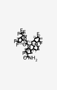 NC(=O)c1cc(-c2cccnc2C(Cc2cc(F)cc(F)c2)NC(=O)Cn2nc(C(F)(F)F)c3c2CC(F)(F)C3)ccc1F